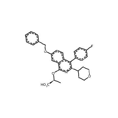 C[C@H](Oc1nc(C2CCOCC2)c(-c2ccc(F)cc2)c2ccc(OCc3ccccc3)cc12)C(=O)O